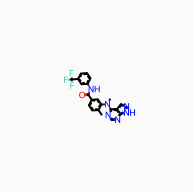 Cc1ccc(C(=O)Nc2cccc(C(F)(F)F)c2)cc1N(C)c1ncnc2[nH]ncc12